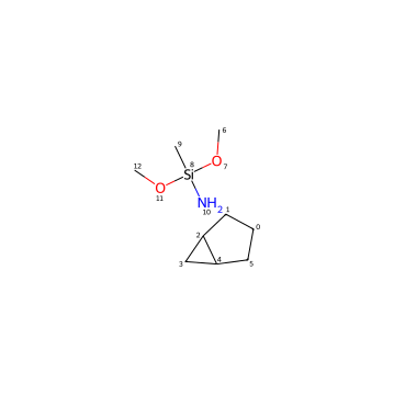 C1CC2CC2C1.CO[Si](C)(N)OC